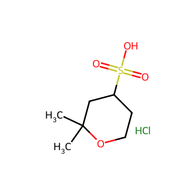 CC1(C)CC(S(=O)(=O)O)CCO1.Cl